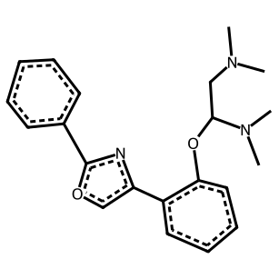 CN(C)CC(Oc1ccccc1-c1coc(-c2ccccc2)n1)N(C)C